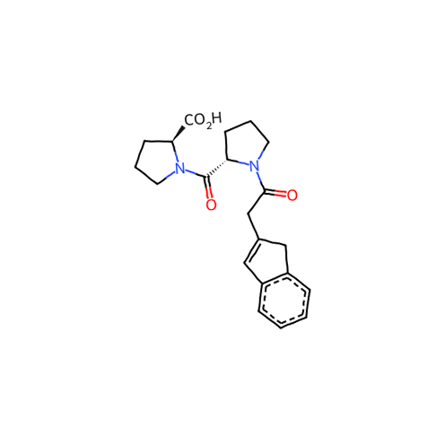 O=C(O)[C@@H]1CCCN1C(=O)[C@@H]1CCCN1C(=O)CC1=Cc2ccccc2C1